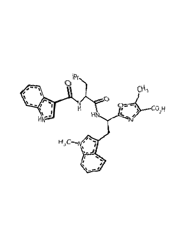 Cc1oc([C@@H](Cc2cn(C)c3ccccc23)NC(=O)[C@H](CC(C)C)NC(=O)c2c[nH]c3ccccc23)nc1C(=O)O